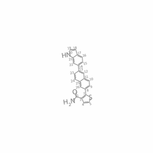 NC(=O)c1ccsc1-c1ccc2cc(-c3ccc4cc[nH]c4c3)ccc2c1